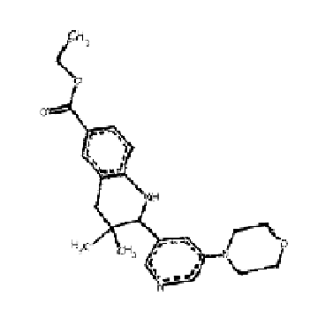 CCOC(=O)c1ccc2c(c1)CC(C)(C)C(c1cncc(N3CCOCC3)c1)N2